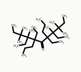 CCCC(CC)(C(=O)C(CC)(CCC)C(C)(CC)C(C)(C)CC)C(C)(CC)C(C)(C)CC